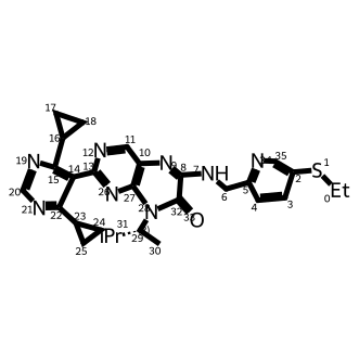 CCSc1ccc(CNc2nc3cnc(-c4c(C5CC5)ncnc4C4CC4)nc3n([C@H](C)C(C)C)c2=O)nc1